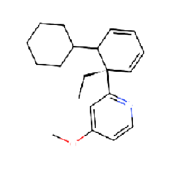 CC[C@]1(c2cc(OC)ccn2)C=CC=CC1C1CCCCC1